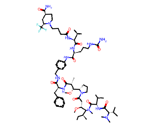 CC[C@H](C)[C@@H]([C@@H](CC(=O)N1CCC[C@H]1[C@H](OC)[C@@H](C)C(=O)N[C@@H](Cc1ccccc1)C(=O)NCc1ccc(NC(=O)[C@H](CCCNC(N)=O)NC(=O)[C@@H](NC(=O)CCCN2CC[C@H](C(N)=O)C[C@@H]2C(F)(F)F)C(C)C)cc1)OC)N(C)C(=O)[C@@H](NC(=O)[C@H](C(C)C)N(C)C)C(C)C